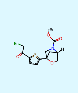 CC(C)(C)OC(=O)N1C[C@]2(c3ccc(C(=O)CBr)s3)C[C@H]1CO2